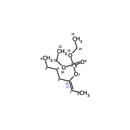 C/C=C(/CCCC)OP(=O)(OCC)OCC